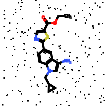 CCOC(=O)c1cnc(-c2ccc3c(c2)c(N)cn3CC2CC2)s1